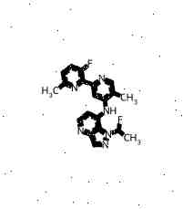 Cc1ccc(F)c(-c2cc(Nc3ccnc4cnn(C(C)F)c34)c(C)cn2)n1